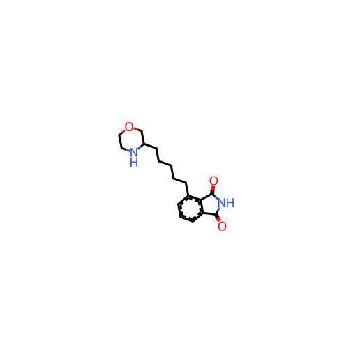 O=C1NC(=O)c2c(CCCCCC3COCCN3)cccc21